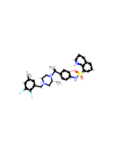 C=C(c1ccc(NS(=O)(=O)c2cccc3cccnc23)cc1)N1CCN(Cc2cc(C)cc(F)c2F)C[C@H]1C